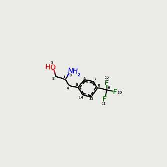 NC(CO)Cc1ccc(C(F)(F)F)cc1